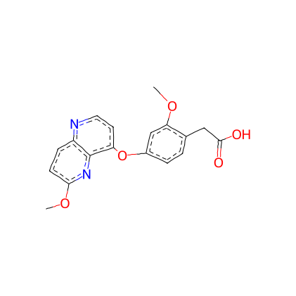 COc1ccc2nccc(Oc3ccc(CC(=O)O)c(OC)c3)c2n1